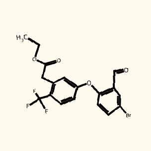 CCOC(=O)Cc1cc(Oc2ccc(Br)cc2C=O)ccc1C(F)(F)F